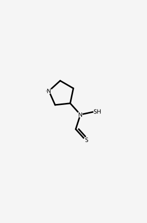 S=CN(S)C1CC[N]C1